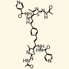 CC(=O)NN=C1N=C(C)C(=C(C=Cc2ccc(C=CC(NNC(=O)c3ccncc3)=C3SC(=NNC(C)=O)N=C3C)cc2)NNC(=O)c2ccncc2)S1